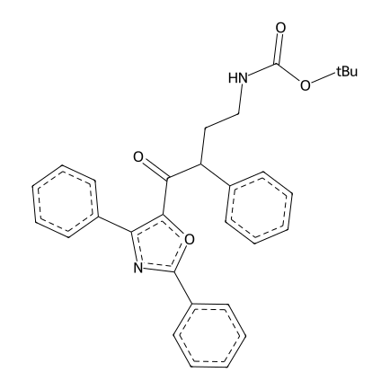 CC(C)(C)OC(=O)NCCC(C(=O)c1oc(-c2ccccc2)nc1-c1ccccc1)c1ccccc1